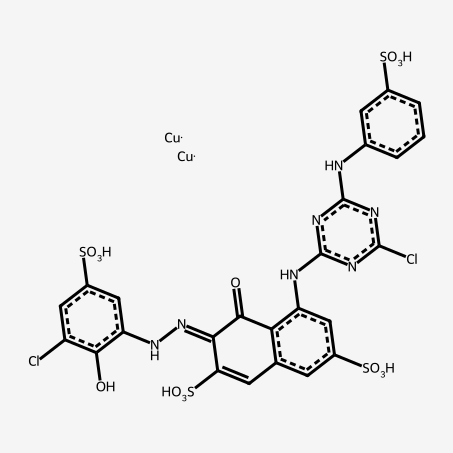 O=C1C(=NNc2cc(S(=O)(=O)O)cc(Cl)c2O)C(S(=O)(=O)O)=Cc2cc(S(=O)(=O)O)cc(Nc3nc(Cl)nc(Nc4cccc(S(=O)(=O)O)c4)n3)c21.[Cu].[Cu]